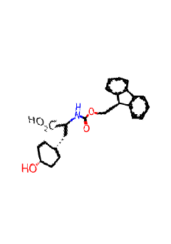 O=C(NC(C[C@H]1CC[C@@H](O)CC1)C(=O)O)OCC1c2ccccc2-c2ccccc21